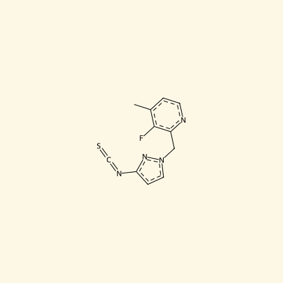 Cc1ccnc(Cn2ccc(N=C=S)n2)c1F